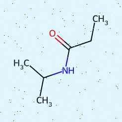 CCC(=O)N[C](C)C